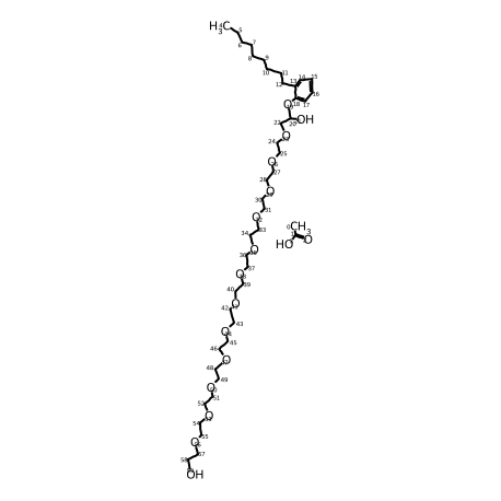 CC(=O)O.CCCCCCCCCc1ccccc1OC(O)COCCOCCOCCOCCOCCOCCOCCOCCOCCOCCOCCOCCO